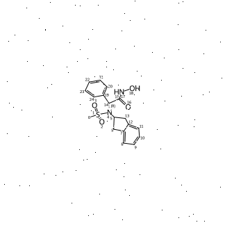 CS(=O)(=O)N(C1Cc2ccccc2C1)[C@@H](C(=O)NO)c1ccccc1